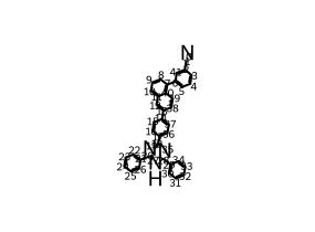 N#Cc1cccc(-c2cccc3cc(-c4ccc(C5=NC(c6ccccc6)NC(c6ccccc6)=N5)cc4)ccc23)c1